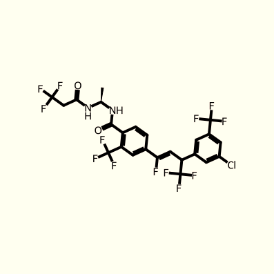 C[C@H](NC(=O)CC(F)(F)F)NC(=O)c1ccc(/C(F)=C/C(c2cc(Cl)cc(C(F)(F)F)c2)C(F)(F)F)cc1C(F)(F)F